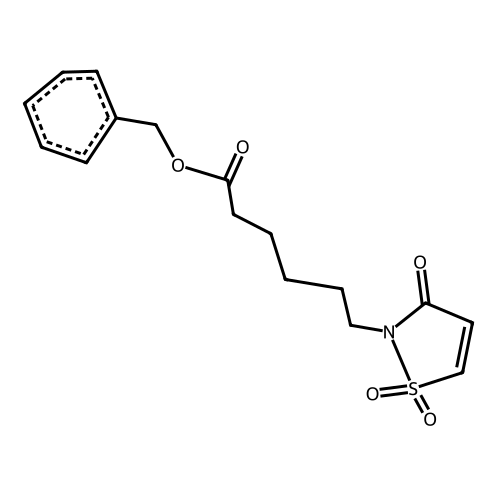 O=C(CCCCCN1C(=O)C=CS1(=O)=O)OCc1ccccc1